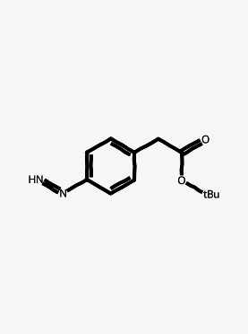 CC(C)(C)OC(=O)Cc1ccc(N=N)cc1